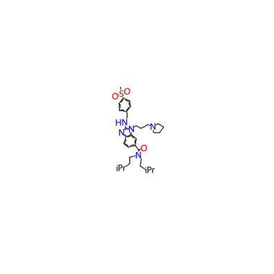 CC(C)CCN(CCC(C)C)C(=O)c1ccc2nc(NCc3ccc(S(C)(=O)=O)cc3)n(CCCN3CCCC3)c2c1